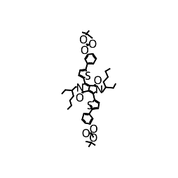 CCCCC(CC)CN1C(=O)C2=C(c3ccc(-c4cccc(OC(=O)OC(C)(C)C)c4)s3)N(CC(CC)CCCC)C(=O)C2=C1c1ccc(-c2cccc(OC(=O)OC(C)(C)C)c2)s1